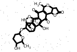 CC1OC2CC(=O)OC2C2=C1C(=O)c1c3c4c(c(O)c1C2=O)C1CC(OC2CCC(O)C(C)O2)C4(NO3)C(C)O1